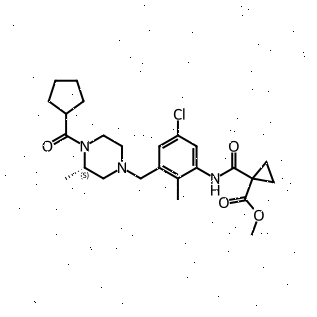 COC(=O)C1(C(=O)Nc2cc(Cl)cc(CN3CCN(C(=O)C4CCCC4)[C@@H](C)C3)c2C)CC1